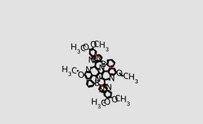 CCOc1ccc(-c2c3/c(=C(\C#N)c4cnc5cc(OC)c(OC)cc5n4)n(B(c4ccccc4)c4ccccc4)c(-c4ccc(OCC)cc4)c3/c(=C(\C#N)c3cnc4cc(OC)c(OC)cc4n3)n2B(c2ccccc2)c2ccccc2)cc1